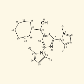 Cc1ccc(C)n1-c1cc(C(O)C2CCCCCCC2)cc(-n2c(C)ccc2C)n1